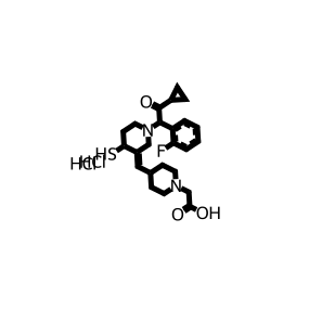 Cl.Cl.O=C(O)CN1CCC(/C=C2\CN(C(C(=O)C3CC3)c3ccccc3F)CCC2S)CC1